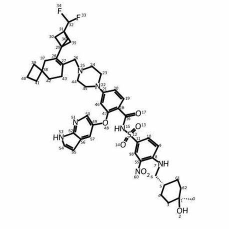 C[C@]1(O)CC[C@H](CNc2ccc(S(=O)(=O)NC(=O)c3ccc(N4CCN(CC5=C(C67CC(C(F)F)(C6)C7)CC6(CCC6)CC5)CC4)cc3Oc3cnc4[nH]ccc4c3)cc2[N+](=O)[O-])CC1